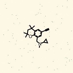 C#Cc1cc(CN(C)C2CC2)c2c(c1)C(C)(C)CC(C)(C)O2